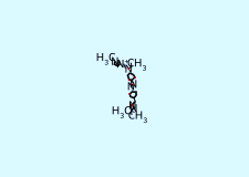 CCN(CC[n+]1ccn(C)c1)c1ccc(N=Nc2ccc(/C=N/N=C(C)C)cc2)cc1